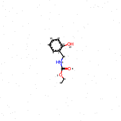 CCOC(=O)NCc1ccccc1O